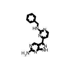 Nc1ncc2c(-c3ccnc(NCc4ccccc4)n3)n[nH]c2n1